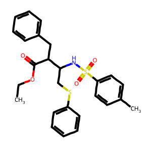 CCOC(=O)C(Cc1ccccc1)C(CSc1ccccc1)NS(=O)(=O)c1ccc(C)cc1